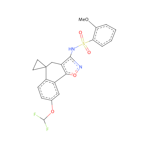 COc1ccccc1S(=O)(=O)Nc1noc2c1CC1(CC1)c1ccc(OC(F)F)cc1-2